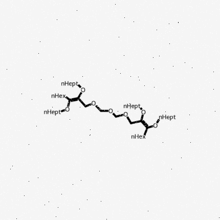 CCCCCCCOC(CCCCCC)=C(COCOCOCC(OCCCCCCC)=C(CCCCCC)OCCCCCCC)OCCCCCCC